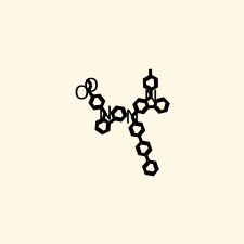 COC(=O)c1ccc(-n2c3ccccc3c3cc(N(c4ccc(-c5ccc(-c6ccccc6)cc5)cc4)c4ccc5c(c4)c4ccccc4n5-c4ccc(C)cc4)ccc32)cc1